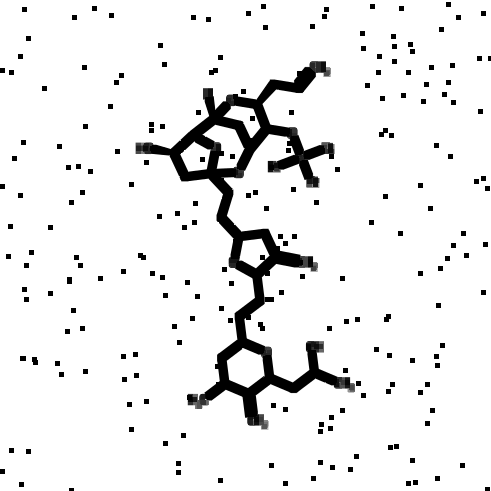 C=CC[C@@H]1O[C@@H]2CC(OC3(CCC4CC(=C)C(CCC5CC(C)C(=C)C(CC(C)O)O5)O4)C[C@@H](O)C2O3)C1O[Si](CC)(CC)CC